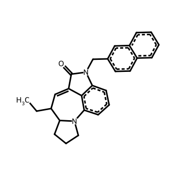 CCC1C=C2C(=O)N(Cc3ccc4ccccc4c3)c3cccc(c32)N2CCCC12